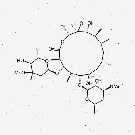 CC[C@H]1OC(=O)[C@H](C)[C@@H](O[C@H]2C[C@@](C)(OC)C(O)[C@H](C)O2)[C@H](C)[C@@H](O[C@@H]2O[C@H](C)C[C@H](NC)[C@H]2O)[C@](C)(O)C[C@@H](C)CN(C)[C@H](C)[C@@H](O)[C@]1(C)O